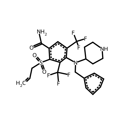 C=CCS(=O)(=O)c1c(C(N)=O)cc(C(F)(F)F)c(N(Cc2ccccc2)C2CCNCC2)c1C(F)(F)F